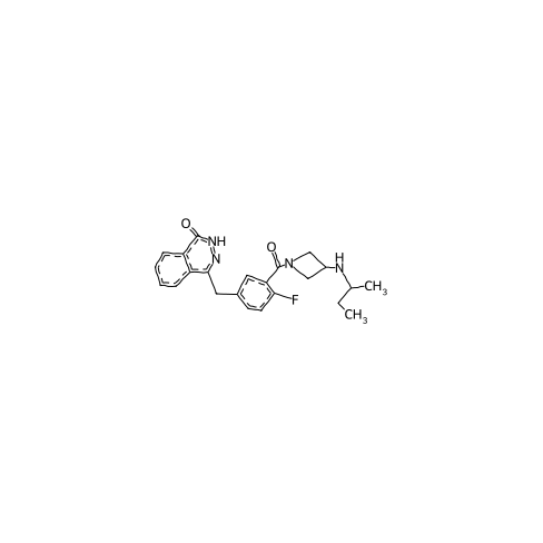 CCC(C)NC1CN(C(=O)c2cc(Cc3n[nH]c(=O)c4ccccc34)ccc2F)C1